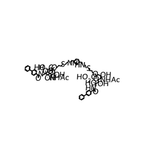 CC(=O)N[C@H]1[C@H]([C@H](O)[C@H](O)CNC(=O)c2ccc(-c3ccccc3)cc2)O[C@@](OCCCSCCNCc2ccc(CNCCSCCCO[C@]3(C(=O)O)C[C@H](O)[C@@H](NC(C)=O)[C@H]([C@H](O)[C@H](O)CNC(=O)c4ccc(-c5ccccc5)cc4)O3)cc2)(C(=O)O)C[C@@H]1O